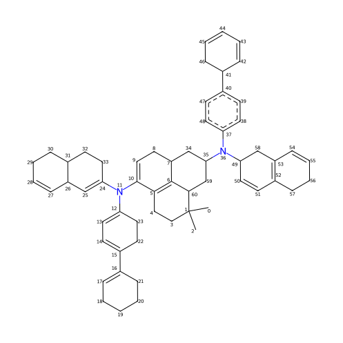 CC1(C)CCC2=C3C(CC=C2N(C2=CC=C(C4=CCCCC4)CC2)C2=CC4C=CCCC4CC2)CC(N(c2ccc(C4C=CC=CC4)cc2)C2C=CC4=C(C=CCC4)C2)CC31